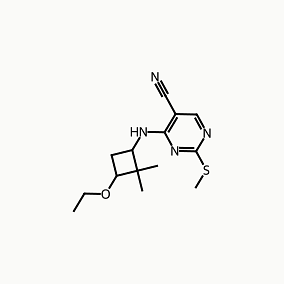 CCOC1CC(Nc2nc(SC)ncc2C#N)C1(C)C